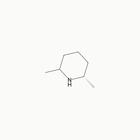 CC1CCC[C@H](C)N1